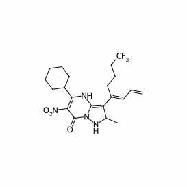 C=C/C=C(\CCCC(F)(F)F)C1=C2NC(C3CCCCC3)=C([N+](=O)[O-])C(=O)N2NC1C